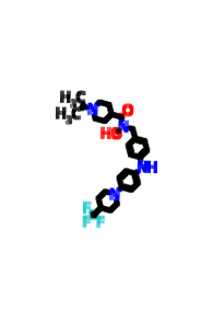 CC(C)N1CCC(C(=O)N(O)Cc2ccc(Nc3ccc(N4CCC(C(F)(F)F)CC4)cc3)cc2)CC1